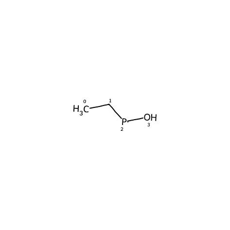 CC[P]O